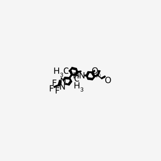 Cc1ccc(CNc2ccc3c(c2)OC[C@H]3CC=O)c(C)c1-c1ccc2nc(C(F)(F)F)cn2c1